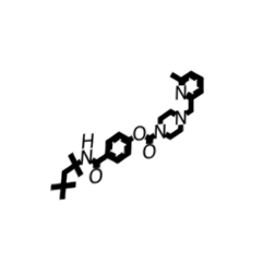 Cc1cccc(CN2CCN(C(=O)Oc3ccc(C(=O)NC(C)(C)CC(C)(C)C)cc3)CC2)n1